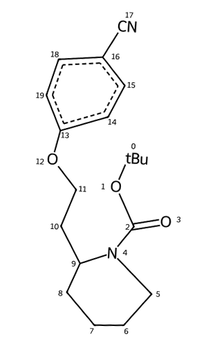 CC(C)(C)OC(=O)N1CCCCC1CCOc1ccc(C#N)cc1